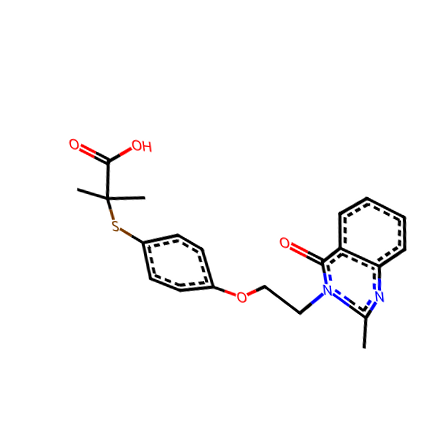 Cc1nc2ccccc2c(=O)n1CCOc1ccc(SC(C)(C)C(=O)O)cc1